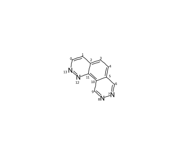 c1cc2ccc3cnncc3c2nn1